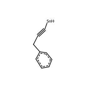 [SnH][C]#CCc1ccccc1